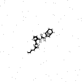 CCCCc1noc(-c2sccc2NC(=O)NC2CC3CCCC(C2)N3C)n1